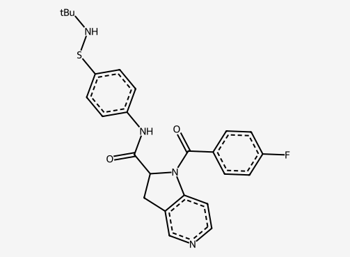 CC(C)(C)NSc1ccc(NC(=O)C2Cc3cnccc3N2C(=O)c2ccc(F)cc2)cc1